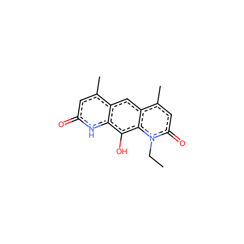 CCn1c(=O)cc(C)c2cc3c(C)cc(=O)[nH]c3c(O)c21